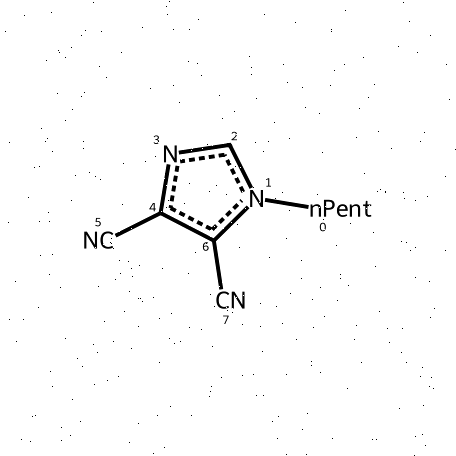 CCCCCn1cnc(C#N)c1C#N